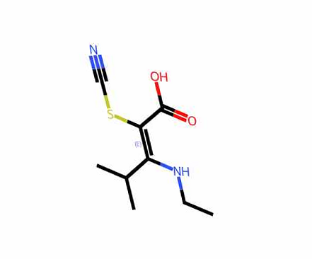 CCN/C(=C(/SC#N)C(=O)O)C(C)C